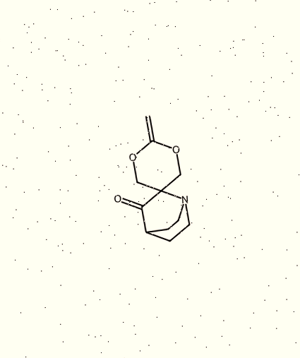 C=C1OCC2(CO1)C(=O)C1CCN2CC1